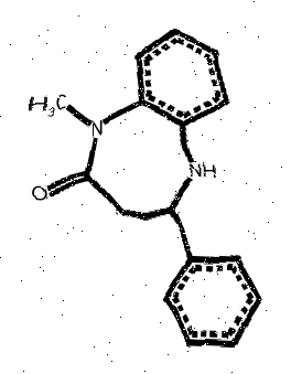 CN1C(=O)[C]C(c2ccccc2)Nc2ccccc21